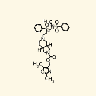 Cc1nc(COC(=O)N2C[C@H]3CN(CC[C@](C)(CN(C)S(=O)(=O)c4ccccc4)c4ccccc4)CC[C@H]3C2)c(C)o1